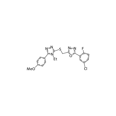 CCn1c(SCc2nnc(-c3cc(Cl)ccc3F)o2)nnc1-c1ccc(OC)cc1